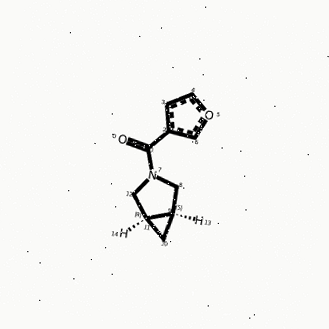 O=C(c1ccoc1)N1C[C@H]2C[C@H]2C1